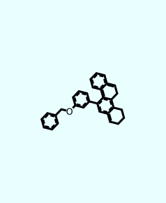 C1=c2cc(-c3cccc(OCc4ccccc4)c3)c3c(c2CCC1)CC=c1ccccc1=3